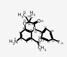 CC(=O)c1cc(N)cc2c1N(c1ccc(F)cc1)C(=O)C(C)(C)O2